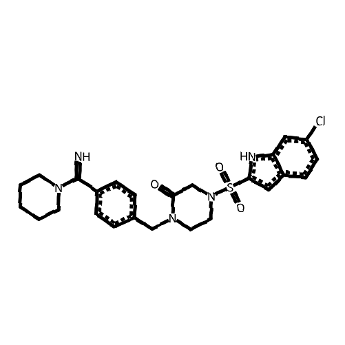 N=C(c1ccc(CN2CCN(S(=O)(=O)c3cc4ccc(Cl)cc4[nH]3)CC2=O)cc1)N1CCCCC1